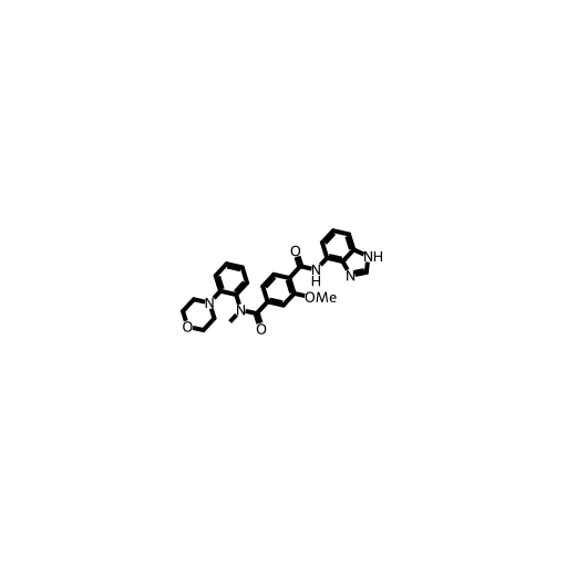 COc1cc(C(=O)N(C)c2ccccc2N2CCOCC2)ccc1C(=O)Nc1cccc2[nH]cnc12